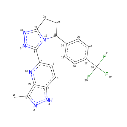 Cc1n[nH]c2ccc(-c3nnc4n3C(c3ccc(C(F)(F)F)cc3)CC4)nc12